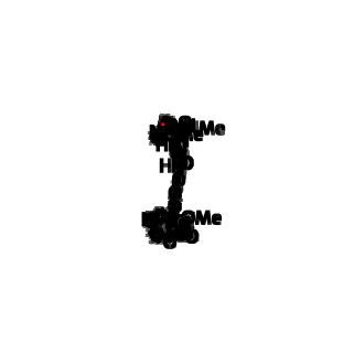 CNC(=O)c1cnc(Nc2ccc(C(=O)NCCOCCOCCOCCOCCN(C(=O)[C@H]3CCCN(c4cncc5ccccc45)C3)c3ccc(=O)n(CC(=O)OC)c3)cn2)cc1Nc1cccc(-c2ncccn2)c1OC